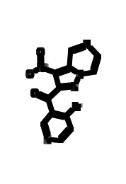 O=C(c1cnccc1Br)c1nn2ccncc2c1[N+](=O)[O-]